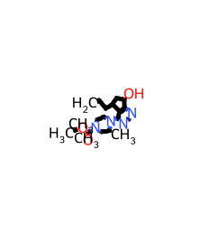 C=CCC1C[C@@H](O)c2ncnc(N3CCN(C(=O)OC(C)(C)C)C[C@@H]3C)c21